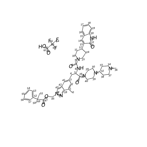 Cc1cc(CC(NC(=O)N2CCC(c3cc4ccccc4[nH]c3=O)CC2)C(=O)N2CCN(C3CCN(C)CC3)CC2)cc2cn(COC(=O)C(C)(C)c3ccccc3)nc12.O=C(O)C(F)(F)F